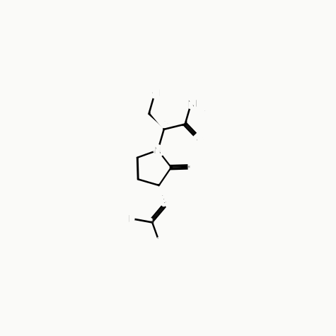 CC[C@@H](C(N)=O)N1CC[C@@H](C=C(F)F)C1=O